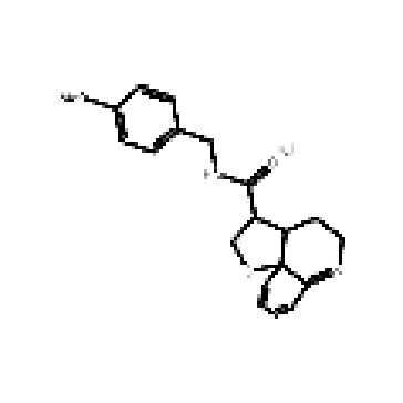 COc1ccc(CNC(=O)C2CSC34C=CC=CC3=NCCC24)cc1.Cl